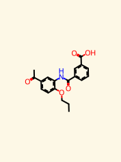 CCCOc1ccc(C(C)=O)cc1NC(=O)c1cccc(C(=O)O)c1